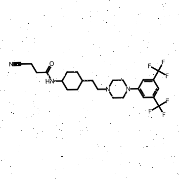 N#CCCC(=O)NC1CCC(CCN2CCN(c3cc(C(F)(F)F)cc(C(F)(F)F)c3)CC2)CC1